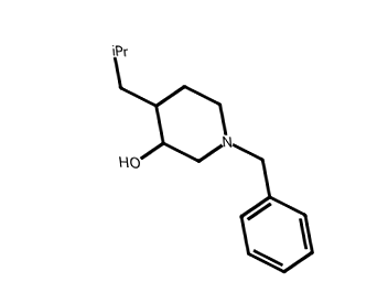 CC(C)CC1CCN(Cc2ccccc2)CC1O